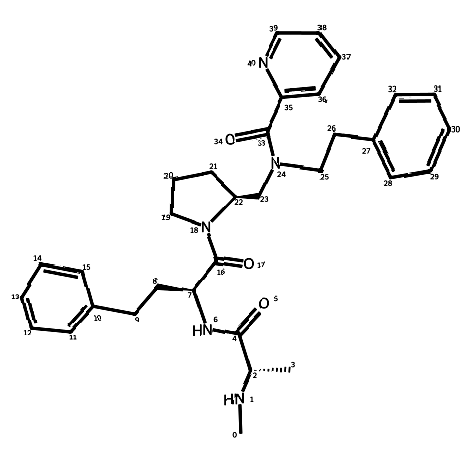 CN[C@@H](C)C(=O)N[C@@H](CCc1ccccc1)C(=O)N1CCC[C@H]1CN(CCc1ccccc1)C(=O)c1ccccn1